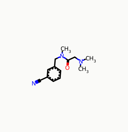 CN(C)CC(=O)N(C)Cc1cccc(C#N)c1